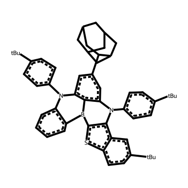 CC(C)(C)c1ccc(N2c3ccccc3B3c4sc5ccc(C(C)(C)C)cc5c4N(c4ccc(C(C)(C)C)cc4)c4cc(C5CC6CC7CC(C6)CC5C7)cc2c43)cc1